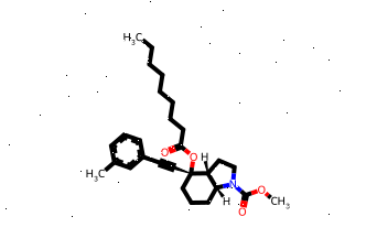 CCCCCCCCC(=O)O[C@@]1(C#Cc2cccc(C)c2)CCC[C@@H]2[C@H]1CCN2C(=O)OC